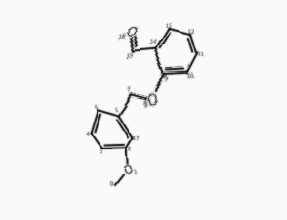 COc1cccc(COc2ccccc2C=O)c1